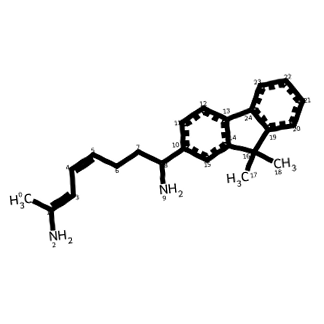 C/C(N)=C\C=C/CCC(N)c1ccc2c(c1)C(C)(C)c1ccccc1-2